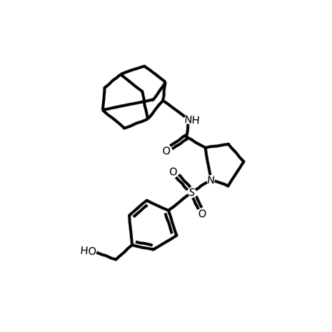 O=C(NC1C2CC3CC(C2)CC1C3)C1CCCN1S(=O)(=O)c1ccc(CO)cc1